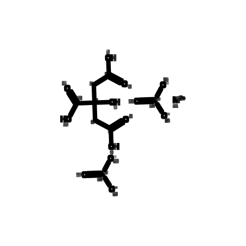 O=C(O)CC(O)(CC(=O)O)C(=O)O.O=[N+]([O-])[O-].O=[N+]([O-])[O-].[Ni+2]